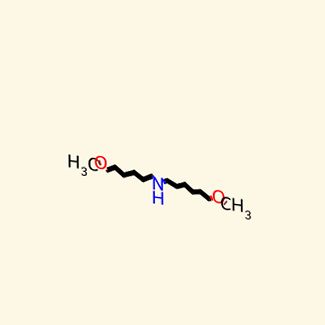 COCCCCCCNCCCCCCOC